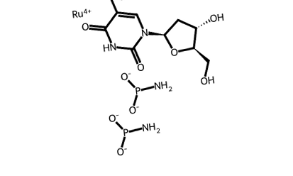 Cc1cn([C@H]2C[C@H](O)[C@@H](CO)O2)c(=O)[nH]c1=O.NP([O-])[O-].NP([O-])[O-].[Ru+4]